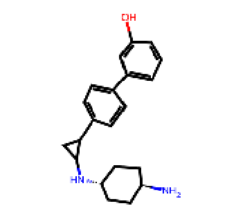 N[C@H]1CC[C@H](NC2CC2c2ccc(-c3cccc(O)c3)cc2)CC1